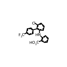 O=C(O)c1ccccc1Nc1cccc(Cl)c1-c1ccc(C(F)(F)F)cc1